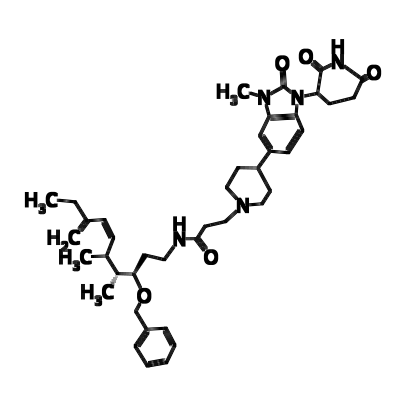 C=C(/C=C\C(C)[C@@H](C)[C@@H](CCNC(=O)CCN1CCC(c2ccc3c(c2)n(C)c(=O)n3C2CCC(=O)NC2=O)CC1)OCc1ccccc1)CC